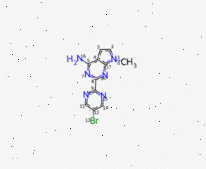 Cn1ccc2c(N)nc(-c3ncc(Br)cn3)nc21